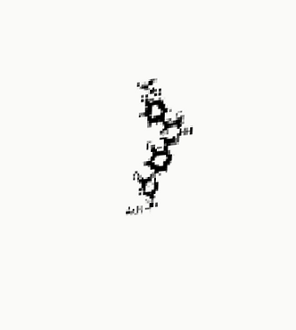 CC(=O)NC[C@H]1CN(c2ccc(C3=NNC(=O)C(c4ccc(OS(C)(=O)=O)cc4)S3)c(F)c2)C(=O)O1